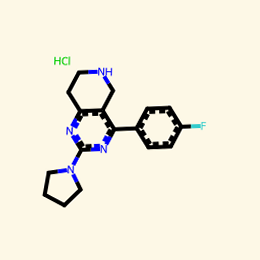 Cl.Fc1ccc(-c2nc(N3CCCC3)nc3c2CNCC3)cc1